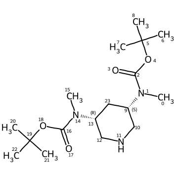 CN(C(=O)OC(C)(C)C)[C@@H]1CNC[C@H](N(C)C(=O)OC(C)(C)C)C1